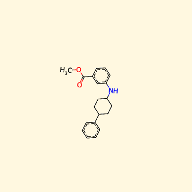 COC(=O)c1cccc(NC2CCC(c3ccccc3)CC2)c1